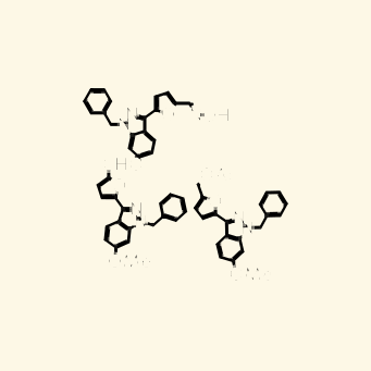 COc1ccc2c(-c3ccc(C=O)o3)nn(Cc3ccccc3)c2c1.COc1ccc2c(-c3ccc(COC(C)=O)o3)nn(Cc3ccccc3)c2c1.ON=Cc1ccc(-c2nn(Cc3ccccc3)c3ccccc23)o1